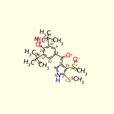 CSc1[nH]cc(C(=O)c2cc(C(C)(C)C)c(O)c(C(C)(C)C)c2)c1[S+](C)[O-]